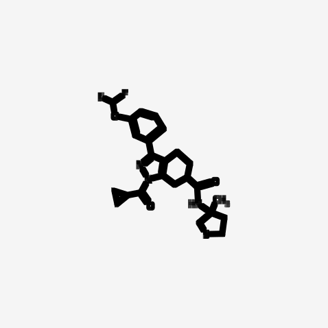 CC1(NC(=O)C2CCc3c(-c4cccc(OC(F)F)c4)nn(C(=O)C4CC4)c3C2)CCSC1